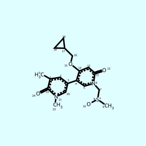 Cc1cc(-c2cn(C[S+](C)[O-])c(=O)cc2OCC2CC2)cn(C)c1=O